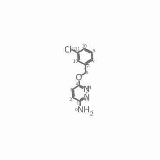 Nc1ccc(OCc2cccc(Cl)c2)nn1